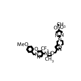 COc1ccc(Cn2ncc(N[C@@H](C)COCc3cc4n(n3)CCN(c3ncc(S(C)(=O)=O)cn3)C4)c(C(F)(F)F)c2=O)cc1